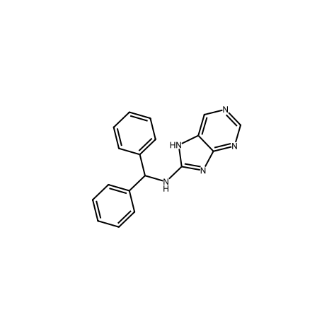 c1ccc(C(Nc2nc3ncncc3[nH]2)c2ccccc2)cc1